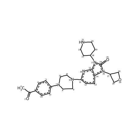 CC(=O)c1ccc(N2CCN(c3ccc4c(n3)n(C3CCNCC3)c(=O)n4C3COC3)CC2)cc1